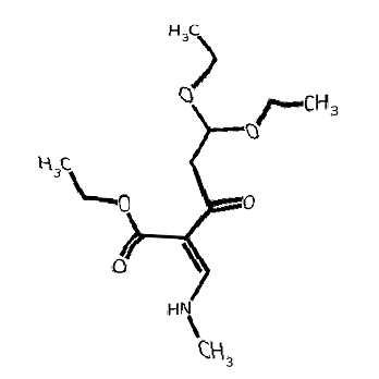 CCOC(=O)/C(=C\NC)C(=O)CC(OCC)OCC